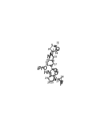 CC(C)Oc1cc2nn([C@]34CC[C@](C)(C3)OC4)cc2cc1C(=O)Nc1cccn([C@@H]2C[C@H]2F)c1=O